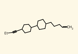 C=CCCCC1CCC(C2CCC(C#CCC)CC2)CC1